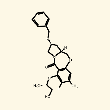 Cc1cc2c(c(O[C@@H](C)CO)c1F)C(=O)N1C[C@@H](OCc3ccccc3)C[C@@H]1CO2